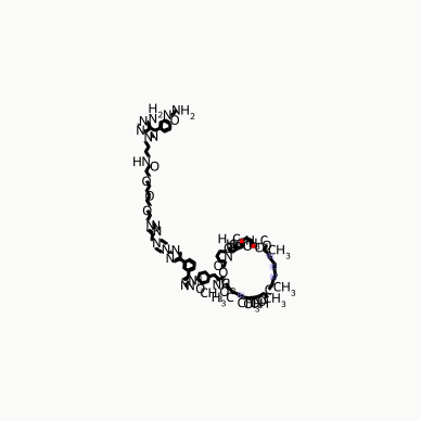 COC1C[C@@H]2CC[C@@H](C)[C@@](O)(O2)C(=O)C(=O)N2CCCCC2C(=O)OC([C@H](N)CC2CC[C@H](n3nncc3-c3cccc(-c4cnc(N5CCN(Cc6cn(CCOCCOCCOCCC(=O)NCCCCn7nc(-c8ccc9oc(N)nc9c8)c8c(N)ncnc87)nn6)CC5)nc4)c3)[C@H](OC)C2)CC(=O)C(C)/C=C(\C)C(O)[C@@H](O)C(=O)C(C)CC(C)/C=C/C=C/C=C/1C